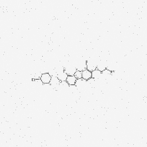 CC[C@H]1CC[C@H](COc2ccc3c(sc4c(F)c(OCCC(C)C)ccc43)c2F)CC1